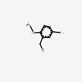 CCCOc1ccc(F)cc1CBr